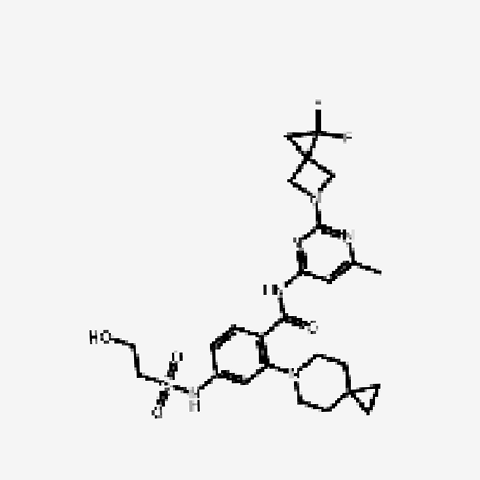 Cc1cc(NC(=O)c2ccc(NS(=O)(=O)CCO)cc2N2CCC3(CC2)CC3)nc(N2CC3(C2)CC3(F)F)n1